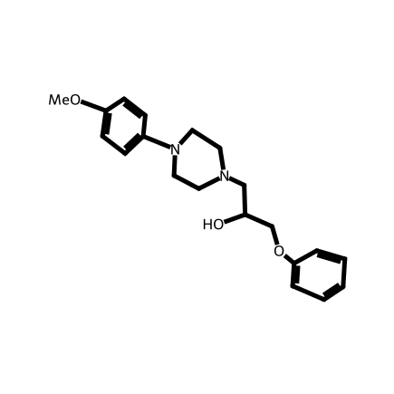 COc1ccc(N2CCN(CC(O)COc3ccccc3)CC2)cc1